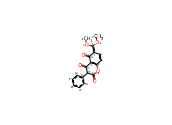 COC(OC)=C1C=CC2=C(C1=O)C(=O)C(c1ccccc1)C(=O)O2